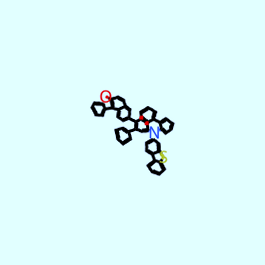 c1ccc(-c2cc(N(c3ccc4c(c3)sc3ccccc34)c3ccccc3-c3ccccc3)ccc2-c2ccc3c(ccc4oc5ccccc5c43)c2)cc1